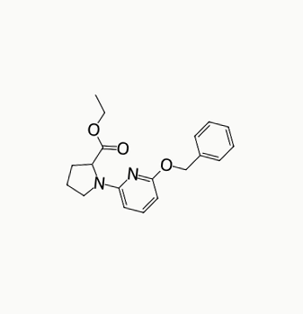 CCOC(=O)C1CCCN1c1cccc(OCc2ccccc2)n1